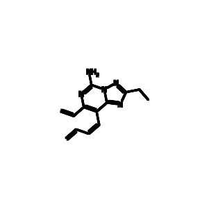 C=C/C=C\c1c(C=C)nc(N)n2nc(CC)nc12